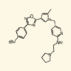 Cc1cc(-c2nc(-c3ccc(C(C)(C)C)cc3)no2)cn1Cc1ccc(NCCN2CCCC2)nc1